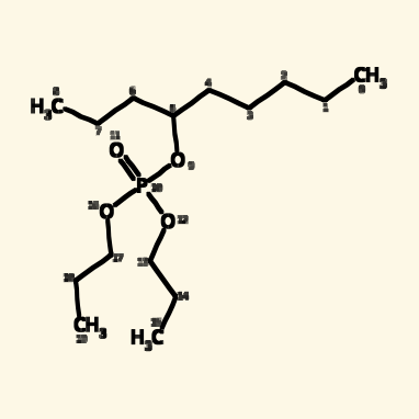 CCCCCC(CCC)OP(=O)(OCCC)OCCC